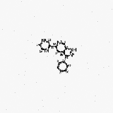 c1ccc(-c2n[nH]c3cnc(-c4cnccn4)cc23)cc1